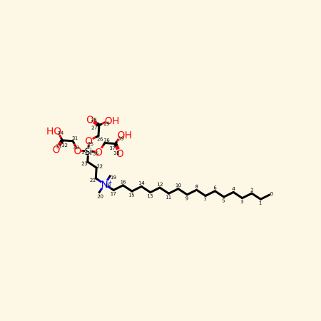 CCCCCCCCCCCCCCCCCC[N+](C)(C)CCC[Si](OCC(=O)O)(OCC(=O)O)OCC(=O)O